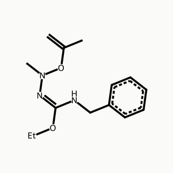 C=C(C)ON(C)/N=C(\NCc1ccccc1)OCC